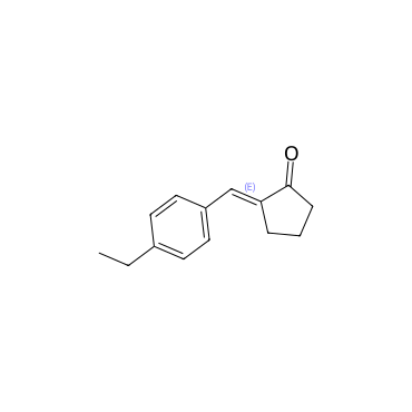 CCc1ccc(/C=C2\CCCC2=O)cc1